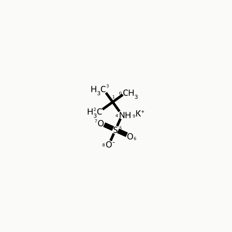 CC(C)(C)NS(=O)(=O)[O-].[K+]